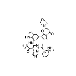 NC(=O)c1c(Nc2cc(-c3csc4c(=O)cc(N5CCOCC5)oc34)cc3cc[nH]c23)nc(N[C@H]2CCCC[C@H]2N)n2cnnc12